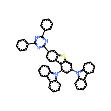 c1ccc(-c2nc(-c3ccccc3)nc(-c3ccc4c(c3)sc3cc(-n5c6ccccc6c6ccccc65)cc(-n5c6ccccc6c6ccccc65)c34)n2)cc1